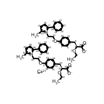 CCO[C@@H](Cc1ccc(OCCn2c(C)ccc2-c2ccccc2)cc1)C(=O)[O-].CCO[C@@H](Cc1ccc(OCCn2c(C)ccc2-c2ccccc2)cc1)C(=O)[O-].[Ca+2]